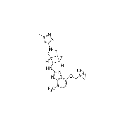 Cc1cc(N2C[C@H]3[C@H](Nc4nc5c(OCC6(C(F)(F)F)CC6)ccc(C(F)(F)F)n5n4)[C@@H]4CC34C2)sn1